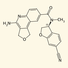 CN(C(=O)c1ccc2nc(N)c3c(c2c1)COC3)[C@@H]1COc2cc(C#N)ccc21